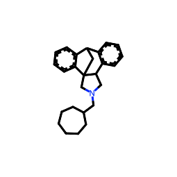 c1ccc2c(c1)C1CC3(CN(CC4CCCCCC4)CC23)c2ccccc21